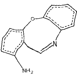 Nc1cccc2c1C=Nc1ccccc1O2